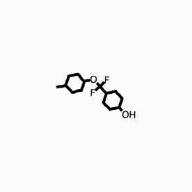 CC1CCC(OC(F)(F)C2CCC(O)CC2)CC1